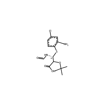 CC(C)(C)OC(C(=O)O)[C@H](NC=O)Sc1ccc(Cl)cc1N